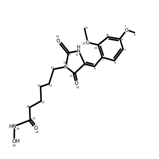 COc1ccc(/C=C2\NC(=O)N(CCCCCC(=O)NO)C2=O)c(OC)c1